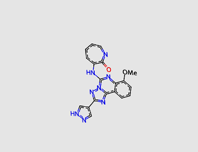 COc1cccc2c1nc(Nc1ccccnc1=O)n1nc(-c3cn[nH]c3)nc21